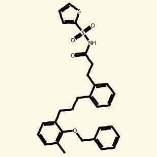 Cc1cccc(CCCc2ccccc2CCC(=O)NS(=O)(=O)c2cccs2)c1OCc1ccccc1